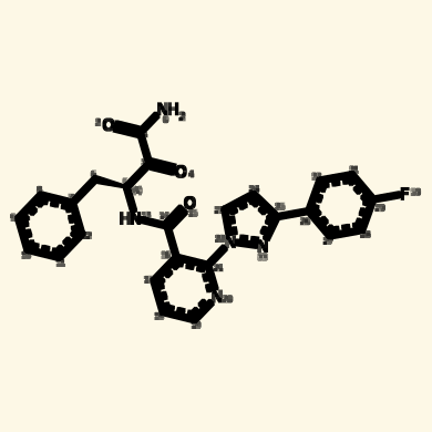 NC(=O)C(=O)[C@H](Cc1ccccc1)NC(=O)c1cccnc1-n1ccc(-c2ccc(F)cc2)n1